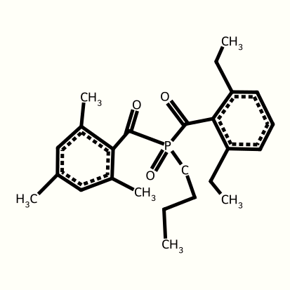 CCCCP(=O)(C(=O)c1c(C)cc(C)cc1C)C(=O)c1c(CC)cccc1CC